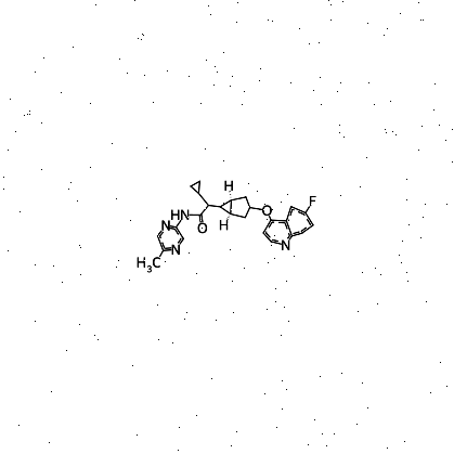 Cc1cnc(NC(=O)C(C2CC2)C2[C@H]3CC(Oc4ccnc5ccc(F)cc45)C[C@@H]23)cn1